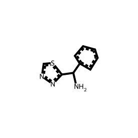 NC(c1ccccc1)c1nncs1